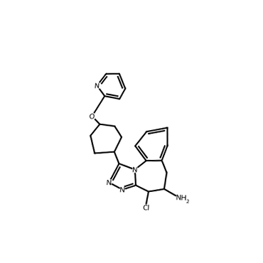 NC1Cc2ccccc2-n2c(C3CCC(Oc4ccccn4)CC3)nnc2C1Cl